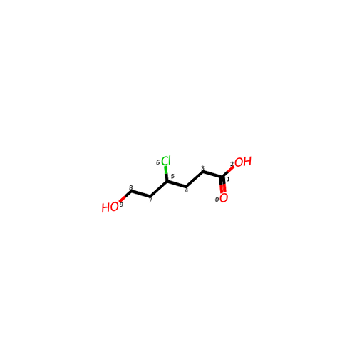 O=C(O)CCC(Cl)CCO